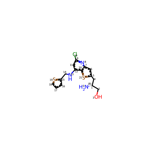 N[C@@H](CO)Cc1cc2nc(Cl)cc(NCc3cccs3)c2s1